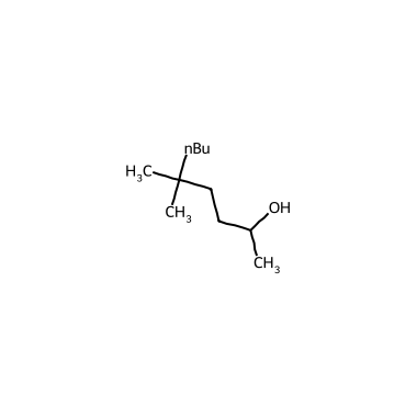 CCCCC(C)(C)CCC(C)O